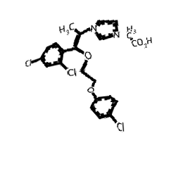 CC(=C(OCCOc1ccc(Cl)cc1)c1ccc(Cl)cc1Cl)n1ccnc1.CC(=O)O